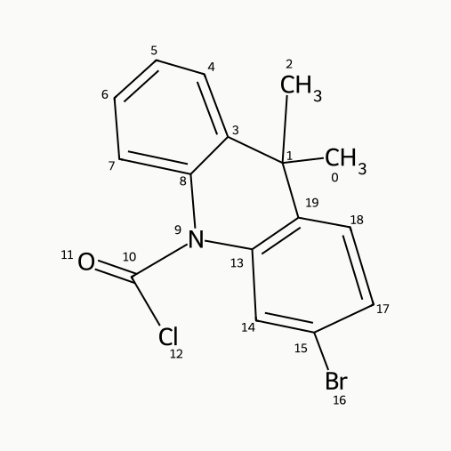 CC1(C)c2ccccc2N(C(=O)Cl)c2cc(Br)ccc21